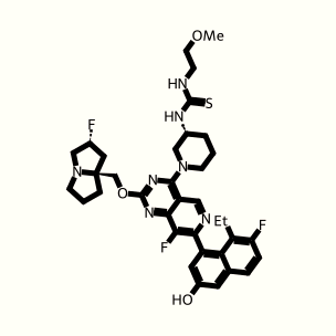 CCc1c(F)ccc2cc(O)cc(-c3ncc4c(N5CCC[C@@H](NC(=S)NCCOC)C5)nc(OC[C@@]56CCCN5C[C@H](F)C6)nc4c3F)c12